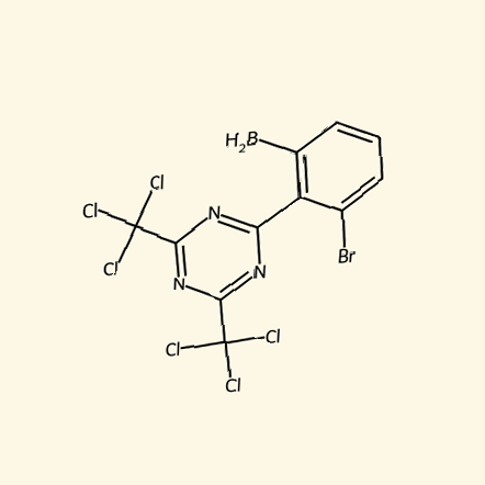 Bc1cccc(Br)c1-c1nc(C(Cl)(Cl)Cl)nc(C(Cl)(Cl)Cl)n1